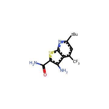 CC(C)(C)c1cc(C(F)(F)F)c2c(N)c(C(N)=O)sc2n1